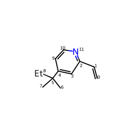 C=Cc1cc(C(C)(C)CC)ccn1